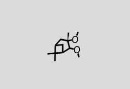 COC1C2CC(C[C@]1(C)OC)C2(C)C